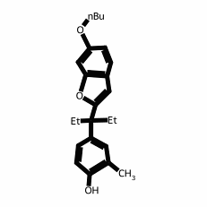 CCCCOc1ccc2cc(C(CC)(CC)c3ccc(O)c(C)c3)oc2c1